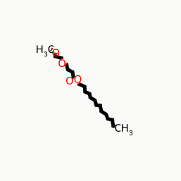 CCCCCCCCCCCCCCOC(=O)CCCOCCOC